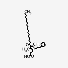 CCCCCCCCCCCCCCCCCC(=O)c1c(C)c(CCC(=O)O)n(CCCc2ccccc2)c1C